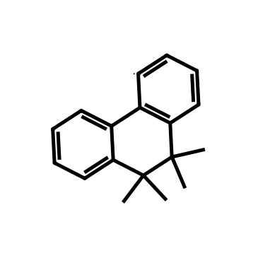 CC1(C)c2ccc[c]c2-c2ccccc2C1(C)C